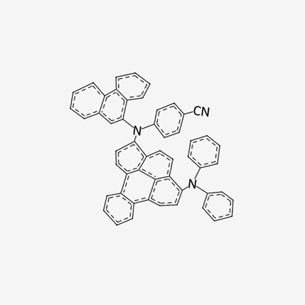 N#Cc1ccc(N(c2cc3ccccc3c3ccccc23)c2ccc3c4ccccc4c4ccc(N(c5ccccc5)c5ccccc5)c5ccc2c3c54)cc1